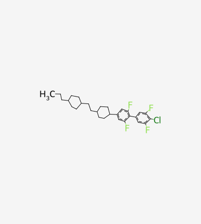 CCCC1CCC(CCC2CCC(c3cc(F)c(-c4cc(F)c(Cl)c(F)c4)c(F)c3)CC2)CC1